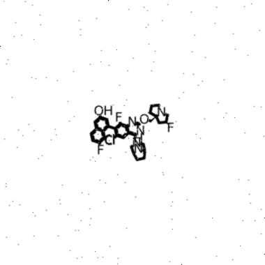 Oc1cc(-c2c(Cl)cc3c(N4CC5CCC(C4)N5)nc(OC[C@@]45CCCN4C[C@H](F)C5)nc3c2F)c2c(Cl)c(F)ccc2c1